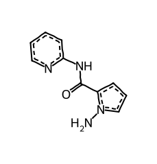 Nn1cccc1C(=O)Nc1ccccn1